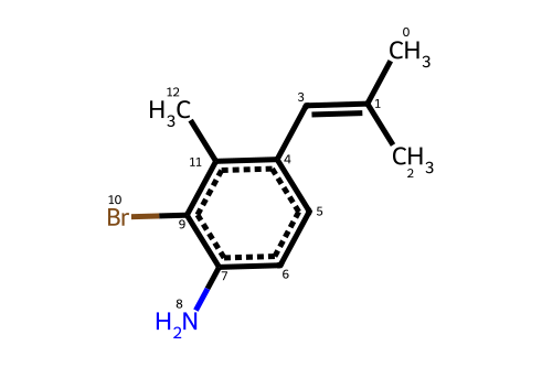 CC(C)=Cc1ccc(N)c(Br)c1C